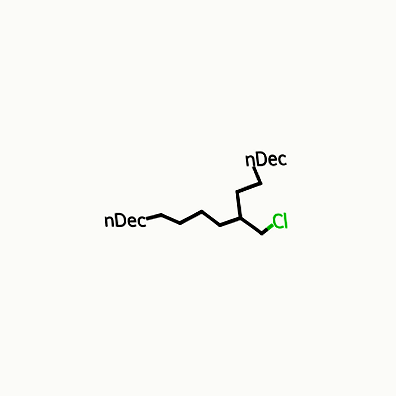 CCCCCCCCCCCCCCC(CCl)CCCCCCCCCCCC